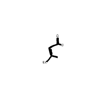 CCC(C)=CC(=O)Cl